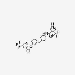 O=C(NC1CCC(=Cc2cccc(Oc3ncc(C(F)(F)F)cc3Cl)c2)CC1)c1c[nH]nc1C(F)(F)F